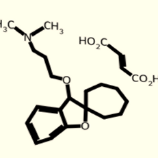 CN(C)CCCOC1c2ccccc2OC12CCCCCC2.O=C(O)C=CC(=O)O